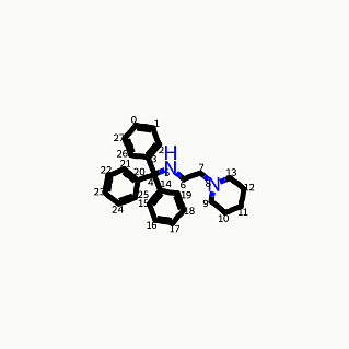 c1ccc(C(NCCN2CCCCC2)(c2ccccc2)c2ccccc2)cc1